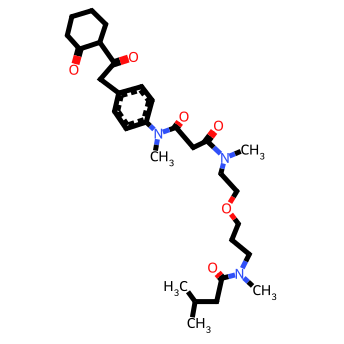 CC(C)CC(=O)N(C)CCCOCCN(C)C(=O)CC(=O)N(C)c1ccc(CC(=O)C2CCCCC2=O)cc1